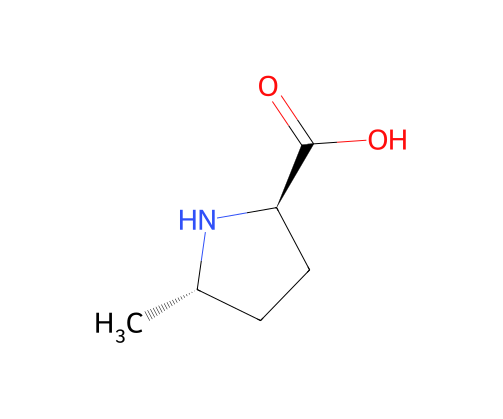 C[C@H]1CC[C@H](C(=O)O)N1